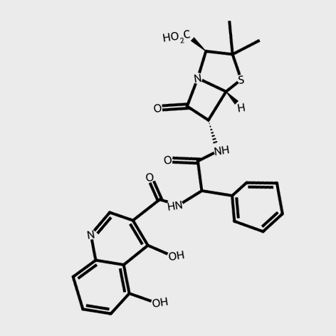 CC1(C)S[C@@H]2[C@H](NC(=O)C(NC(=O)c3cnc4cccc(O)c4c3O)c3ccccc3)C(=O)N2[C@H]1C(=O)O